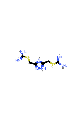 N=C(N)SCc1n[nH]c(CSC(=N)N)n1